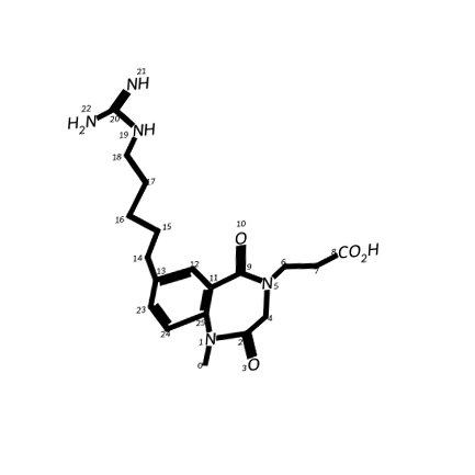 CN1C(=O)CN(CCC(=O)O)C(=O)c2cc(CCCCCNC(=N)N)ccc21